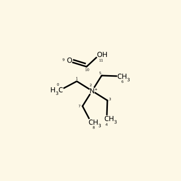 CC[N+](CC)(CC)CC.O=CO